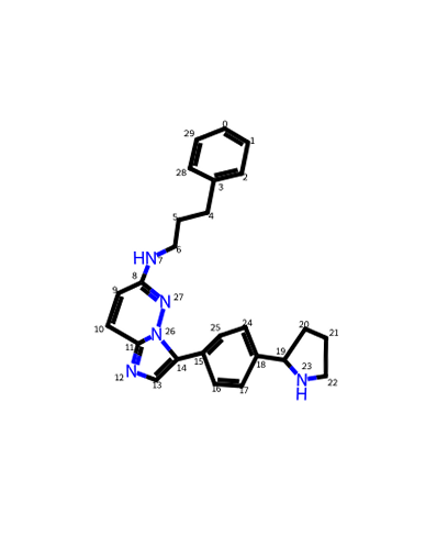 c1ccc(CCCNc2ccc3ncc(-c4ccc(C5CCCN5)cc4)n3n2)cc1